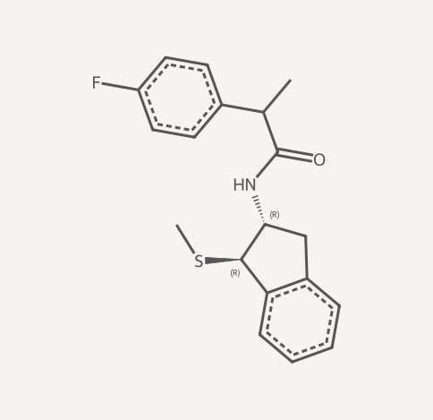 CS[C@@H]1c2ccccc2C[C@H]1NC(=O)C(C)c1ccc(F)cc1